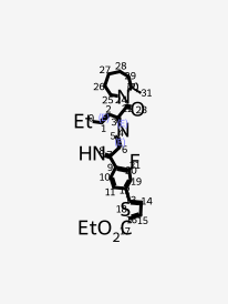 CC/C=C/C(=N\C=C\C(=N)c1ccc(-c2ccc(C(=O)OCC)s2)cc1F)C(=O)N1CCCCC[C@H]1C